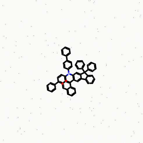 c1ccc(-c2ccc(N(c3ccc(-c4ccccc4)cc3)c3cc4c(cc3-c3cccc5ccccc35)-c3ccccc3C4(c3ccccc3)c3ccccc3)cc2)cc1